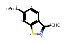 CCCCCc1ccc2c(C=O)nsc2c1